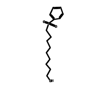 O=S(=O)(CCCCCCCCCO)c1ccccc1